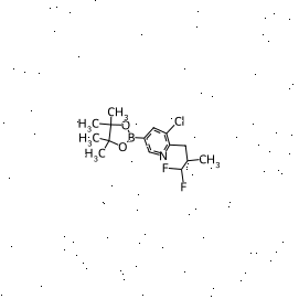 CC(Cc1ncc(B2OC(C)(C)C(C)(C)O2)cc1Cl)C(F)F